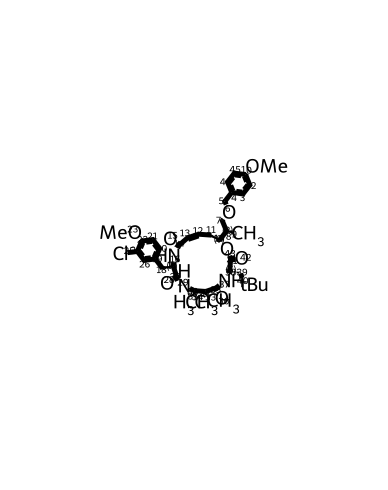 COc1ccc(COC[C@@H](C)[C@@H]2CC=CC(=O)N[C@H](Cc3ccc(OC)c(Cl)c3)C(=O)N[C@@H](C)C(C)(C)C(=O)N[C@@H](CC(C)(C)C)C(=O)O2)cc1